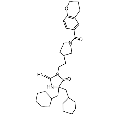 N=C1NC(CC2CCCCC2)(CC2CCCCC2)C(=O)N1CCC1CCN(C(=O)c2ccc3c(c2)CCCO3)C1